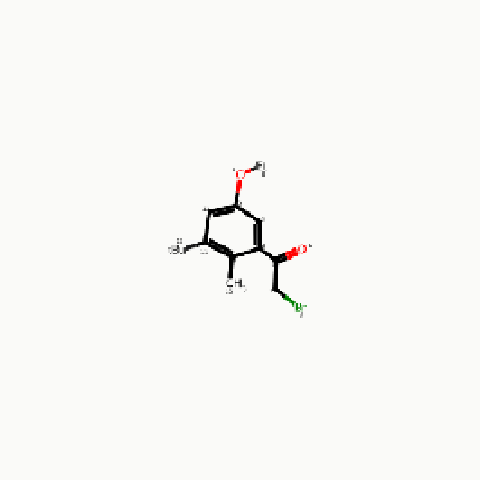 CCOc1cc(C(=O)CBr)c(C)c(C(C)(C)C)c1